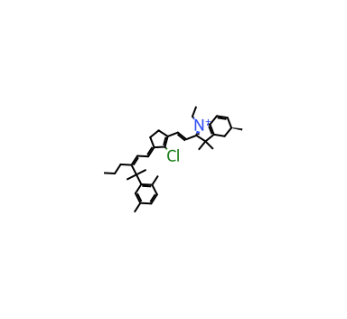 CCC/C(=C/C=C1\CCC(/C=C/C2=[N+](CC)C3=C(C[C@H](C)C=C3)C2(C)C)=C1Cl)C(C)(C)c1cc(C)ccc1C